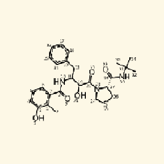 Cc1c(O)cccc1C(=O)N[C@@H](Cc1ccccc1)[C@H](O)C(=O)N1CSC[C@H]1C(=O)NC(C)(C)C